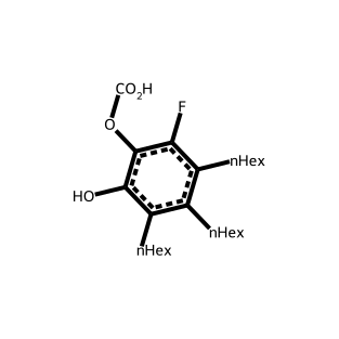 CCCCCCc1c(O)c(OC(=O)O)c(F)c(CCCCCC)c1CCCCCC